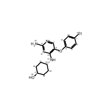 CCc1ccc(Oc2cnc(N)nc2N[C@H]2CC[C@H](O)CC2)cc1